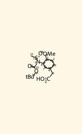 COc1ccc(CC(=O)O)cc1N(C(=O)OC(C)(C)C)[S+](C)[O-]